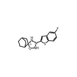 Fc1ccc2sc(N3NO[C@]4(CC5CCC4CC5)N3)cc2c1